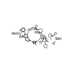 CCn1c(-c2cccnc2[C@H](C)OC)c2c3cc(ccc31)-c1csc(n1)C[C@H](NC(=O)[C@H](C1CCCC1)N(C)C(=O)[C@@H]1CCN(C(=O)[C@@H]3N[C@@H]3C3CC3)[C@H]1C)C(=O)N1CCC[C@H](N1)C(=O)OCC(C)(C)C2